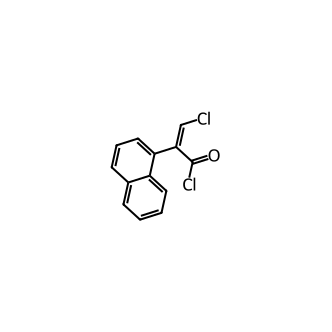 O=C(Cl)C(=CCl)c1cccc2ccccc12